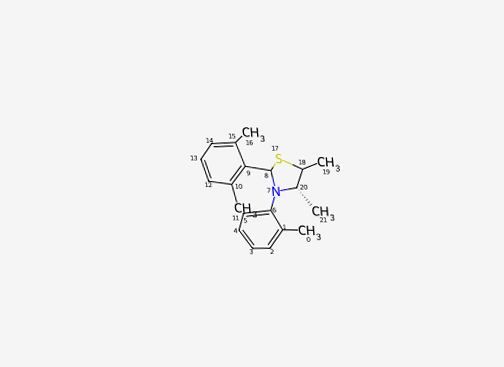 Cc1ccccc1N1C(c2c(C)cccc2C)SC(C)[C@@H]1C